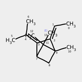 C/C=C1/C(=C(C)C)C2CC1(C)C2(C)C